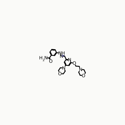 NC(=O)c1cccc(N/N=C/c2cc(N3CCOCC3)cc(OCCN3CCOCC3)n2)c1